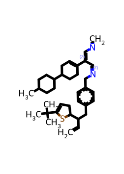 C=CC(Cc1ccc(C/N=C\C(=C/N=C)C2=CCC(C3CCC(C)CC3)CC2)cc1)C1CC=C(C(C)(C)C)S1